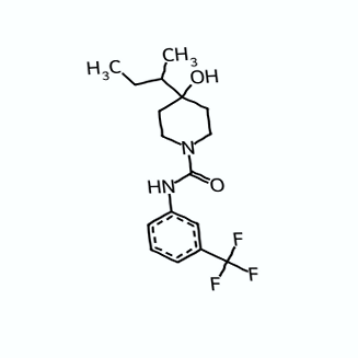 CCC(C)C1(O)CCN(C(=O)Nc2cccc(C(F)(F)F)c2)CC1